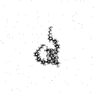 CCCCCCc1ccc(-c2ccc(-c3ccc(-c4ccc(C5=C6C(=O)N(C(=O)OC(C)(C)C)C(c7ccc(-c8ccc(-c9ccc(-c%10ccc(CCCCCC)s%10)s9)s8)s7)=C6C(=O)N5C(=O)OC(C)(C)C)s4)s3)s2)s1